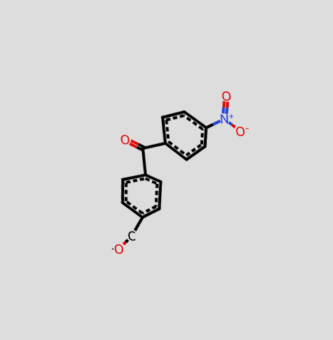 [O]Cc1ccc(C(=O)c2ccc([N+](=O)[O-])cc2)cc1